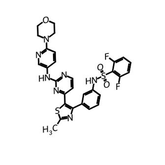 Cc1nc(-c2cccc(NS(=O)(=O)c3c(F)cccc3F)c2)c(-c2ccnc(Nc3ccc(N4CCOCC4)nc3)n2)s1